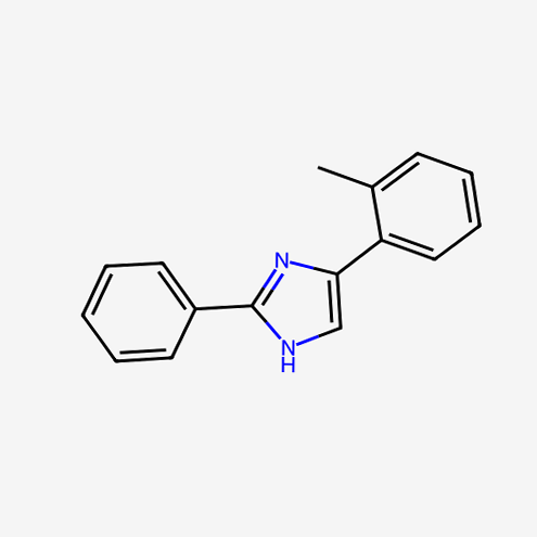 Cc1ccccc1-c1c[nH]c(-c2ccccc2)n1